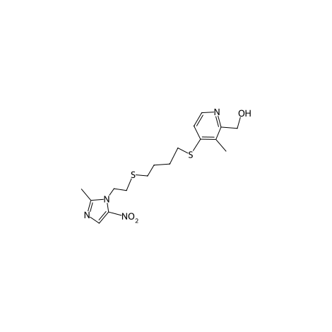 Cc1c(SCCCCSCCn2c([N+](=O)[O-])cnc2C)ccnc1CO